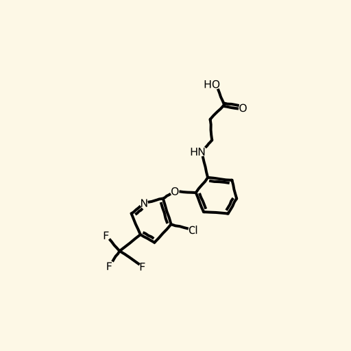 O=C(O)CCNc1ccccc1Oc1ncc(C(F)(F)F)cc1Cl